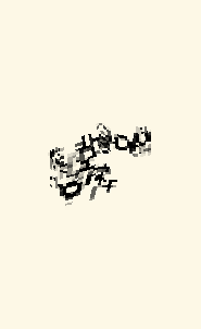 O=S(=O)(NC1CC2=C(c3ccn(C(F)F)n3)[C@H](c3ccc(F)cc3Cl)N=C(c3nccs3)N2C1)N1CCC(O)(c2cccnc2)CC1